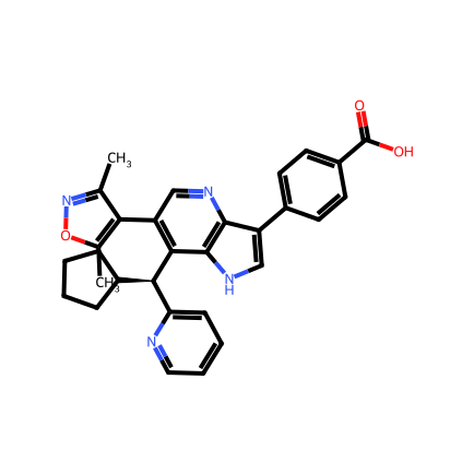 Cc1noc(C)c1-c1cnc2c(-c3ccc(C(=O)O)cc3)c[nH]c2c1[C@@H](c1ccccn1)C1CCCC1